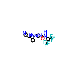 O=C(CN1CCN(c2nnc(Cc3ccncc3)c3ccccc23)CC1)Nc1cc(C(F)(F)F)cc(C(F)(F)F)c1